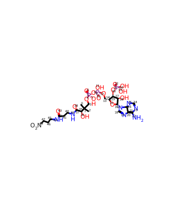 CC(C)(COP(=O)(O)OP(=O)(O)OC[C@H]1O[C@@H](n2cnc3c(N)ncnc32)[C@H](O)[C@@H]1OP(=O)(O)O)[C@@H](O)C(=O)NCCC(=O)NCCC[N+](=O)[O-]